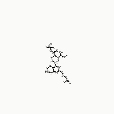 COC(=O)C1CN(c2nc(OCON(C)C)nc3c2CCNC3)CCN1C(=O)OC(C)(C)C